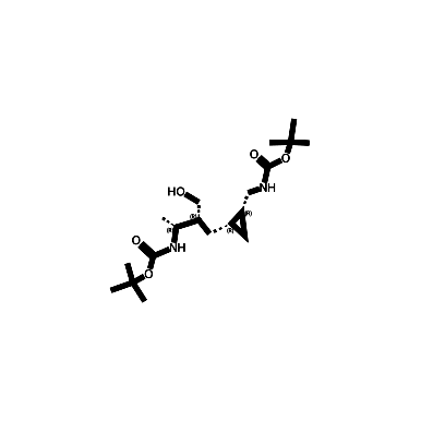 C[C@@H](NC(=O)OC(C)(C)C)[C@H](CO)C[C@H]1C[C@H]1CNC(=O)OC(C)(C)C